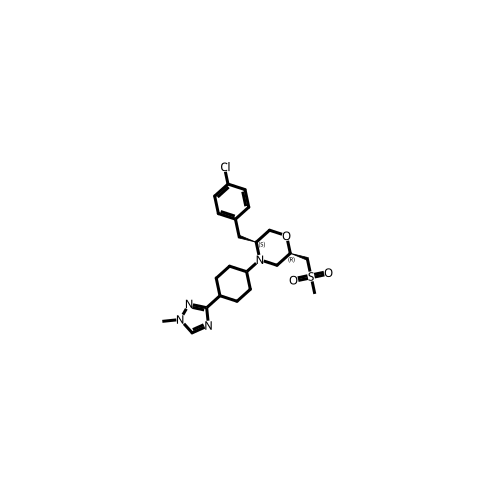 Cn1cnc(C2CCC(N3C[C@H](CS(C)(=O)=O)OC[C@@H]3Cc3ccc(Cl)cc3)CC2)n1